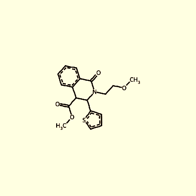 COCCN1C(=O)c2ccccc2C(C(=O)OC)C1c1cccs1